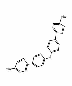 CCCCc1ccc(-c2ccc(Sc3ccc(-c4ccc(CCCC)cc4)cc3)cc2)cc1